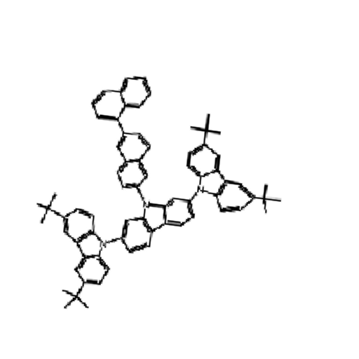 CC(C)(C)c1ccc2c(c1)c1cc(C(C)(C)C)ccc1n2-c1ccc2c3ccc(-n4c5ccc(C(C)(C)C)cc5c5cc(C(C)(C)C)ccc54)cc3n(-c3ccc4cc(-c5cccc6ccccc56)ccc4c3)c2c1